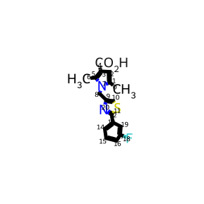 Cc1cc(C(=O)O)c(C)n1Cc1csc(-c2cccc(F)c2)n1